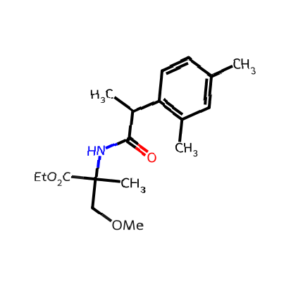 CCOC(=O)C(C)(COC)NC(=O)C(C)c1ccc(C)cc1C